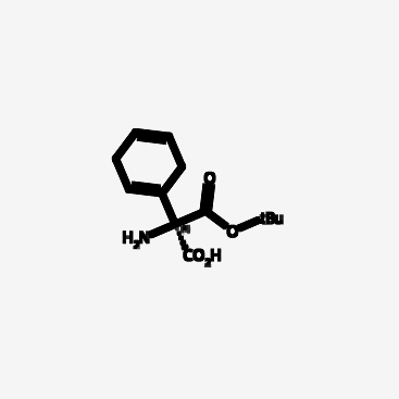 CC(C)(C)OC(=O)[C@](N)(C(=O)O)C1=CCC=CC1